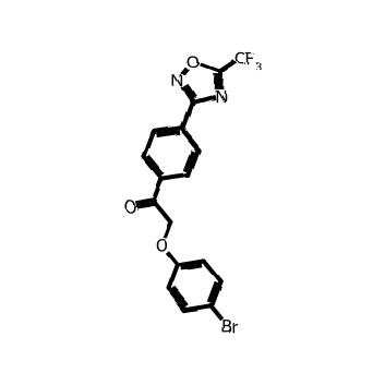 O=C(COc1ccc(Br)cc1)c1ccc(-c2noc(C(F)(F)F)n2)cc1